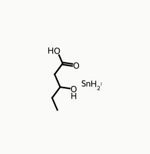 CCC(O)CC(=O)O.[SnH2]